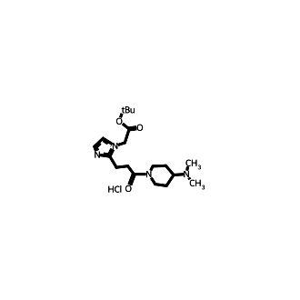 CN(C)C1CCN(C(=O)CCc2nccn2CC(=O)OC(C)(C)C)CC1.Cl